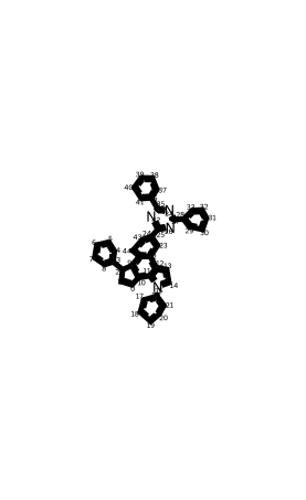 C1=CC(c2ccccc2)c2c1c1c(ccn1-c1ccccc1)c1cc(-c3nc(-c4ccccc4)nc(-c4ccccc4)n3)ccc21